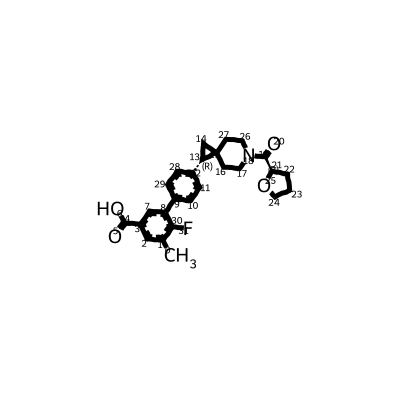 Cc1cc(C(=O)O)cc(-c2ccc([C@@H]3CC34CCN(C(=O)[C@H]3CCCO3)CC4)cc2)c1F